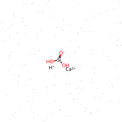 O=[Si](O)O.[Ca+2].[H+]